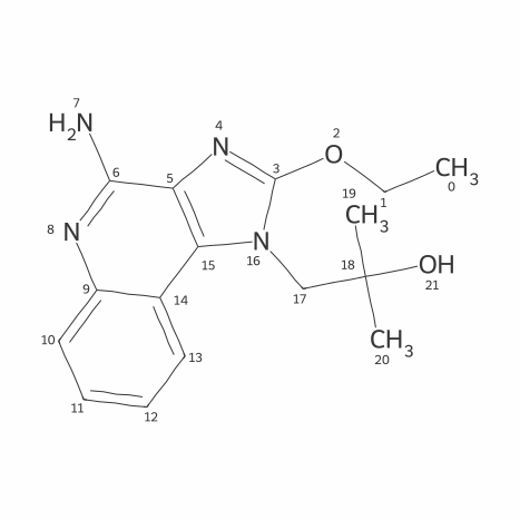 CCOc1nc2c(N)nc3ccccc3c2n1CC(C)(C)O